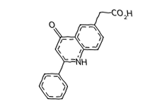 O=C(O)Cc1ccc2[nH]c(-c3ccccc3)cc(=O)c2c1